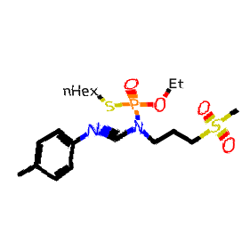 CCCCCCSP(=O)(OCC)N(C=Nc1ccc(C)cc1)CCCS(C)(=O)=O